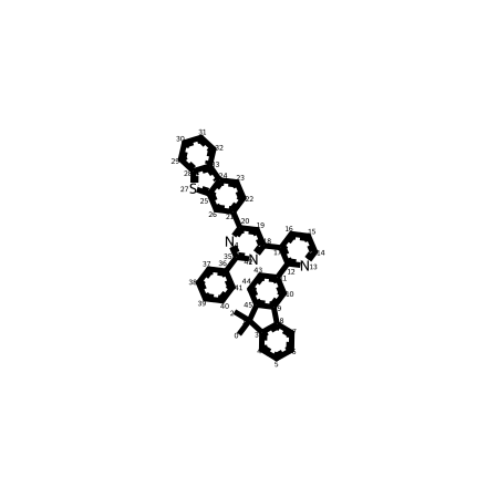 CC1(C)c2ccccc2-c2cc(-c3ncccc3-c3cc(-c4ccc5c(c4)sc4ccccc45)nc(-c4ccccc4)n3)ccc21